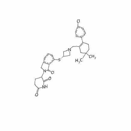 CC1(C)CCC(c2ccc(Cl)cc2)=C(CN2CC(Sc3cccc4c3C(=O)N(C3CCC(=O)NC3=O)C4)C2)C1